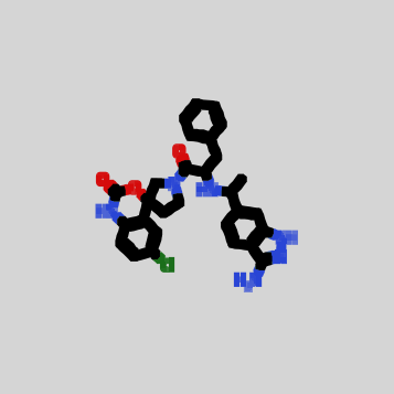 CC(NC(Cc1ccccc1)C(=O)N1CCC2(C1)OC(=O)Nc1ccc(Cl)cc12)c1ccc2c(N)n[nH]c2c1